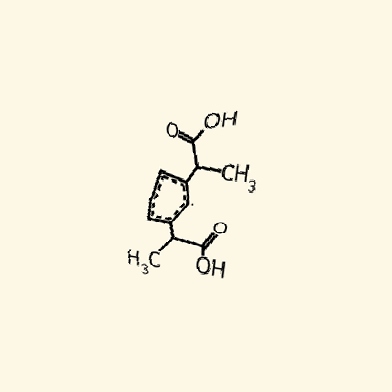 CC(C(=O)O)c1[c]c(C(C)C(=O)O)ccc1